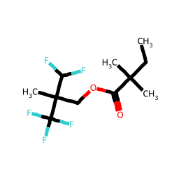 CCC(C)(C)C(=O)OCC(C)(C(F)F)C(F)(F)F